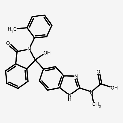 Cc1ccccc1N1C(=O)c2ccccc2C1(O)c1ccc2[nH]c(N(C)C(=O)O)nc2c1